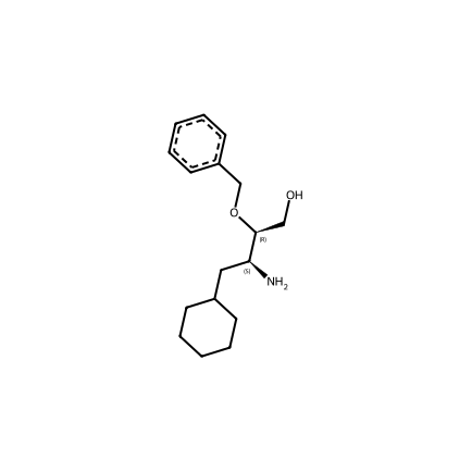 N[C@@H](CC1CCCCC1)[C@H](CO)OCc1ccccc1